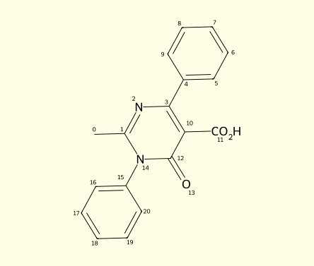 Cc1nc(-c2ccccc2)c(C(=O)O)c(=O)n1-c1ccccc1